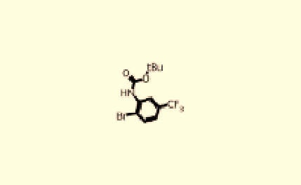 CC(C)(C)OC(=O)Nc1cc(C(F)(F)F)ccc1Br